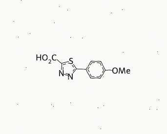 COc1ccc(-c2nnc(C(=O)O)s2)cc1